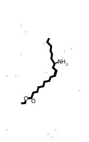 CCCCCC[C@@H](N)C/C=C\CCCCCCCC(=O)OCC